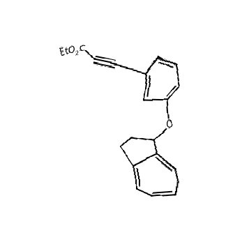 CCOC(=O)C#Cc1cccc(OC2CCc3ccccc32)c1